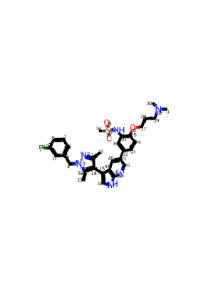 Cc1nn(Cc2cccc(F)c2)c(C)c1-c1c[nH]c2ncc(-c3ccc(OCCCN(C)C)c(NS(C)(=O)=O)c3)cc12